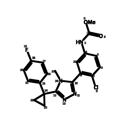 COC(=O)Nc1ccc(Cl)c(-c2nnc(C3(c4ccc(F)cc4)CC3)n2C)c1